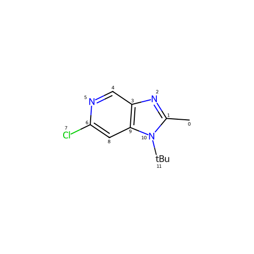 Cc1nc2cnc(Cl)cc2n1C(C)(C)C